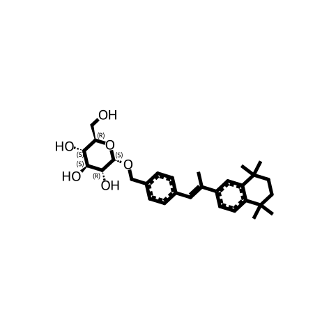 CC(=Cc1ccc(CO[C@H]2O[C@H](CO)[C@@H](O)[C@H](O)[C@H]2O)cc1)c1ccc2c(c1)C(C)(C)CCC2(C)C